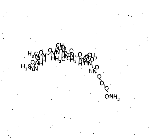 C=CN(C)/C(=C\NC(=O)c1nc(NC(=O)CCNC(=O)c2cc(NC(=O)c3nccn3C)cn2C)cn1C)C(=O)NCCC(=O)Nc1cn(C)c(C(=O)NCCC(=O)NCCOCCOCCOCCC(N)=O)n1